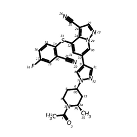 CC(=O)N1CC[C@@H](n2cc(-c3cc(Sc4ccc(F)cc4C#N)c4c(C#N)cnn4c3)cn2)C[C@H]1C